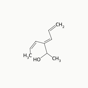 C=C/C=C(\C=C/C)C(C)O